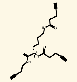 C#CCCNC(=O)[C@H](CCCCNC(=O)CCC#C)NC(=O)CCC#C